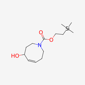 C[Si](C)(C)CCOC(=O)N1CC/C=C\C(O)CC1